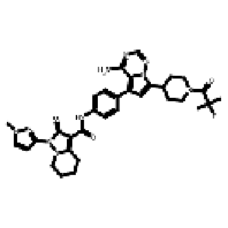 Cn1ccc(-n2c(=O)c(C(=O)Nc3ccc(-c4cc(C5CCN(C(=O)C(C)(C)F)CC5)n5ncnc(N)c45)cc3)c3n2CCCC3)n1